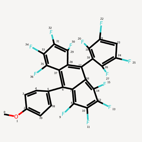 COc1ccc(-c2c3c(F)c(F)c(F)c(F)c3c(-c3c(F)c(F)cc(F)c3F)c3c(F)c(F)c(F)c(F)c23)cc1